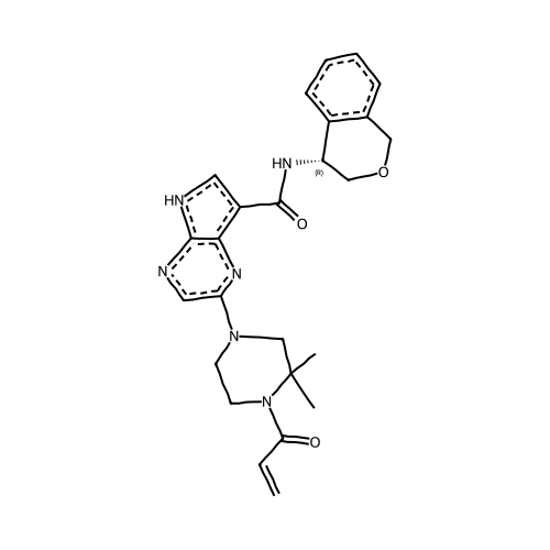 C=CC(=O)N1CCN(c2cnc3[nH]cc(C(=O)N[C@H]4COCc5ccccc54)c3n2)CC1(C)C